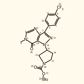 Cn1cnc2c(-c3ccc(C(F)(F)F)cc3)nn(C3CCN(C(=O)OC(C)(C)C)C3)c2c1=O